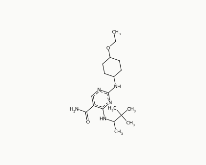 CCOC1CCC(Nc2ncc(C(N)=O)c(NC(C)C(C)(C)C)n2)CC1